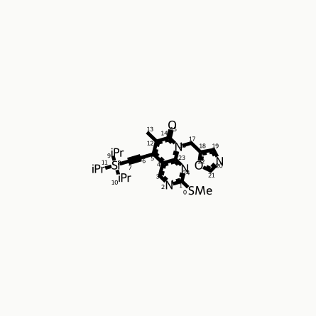 CSc1ncc2c(C#C[Si](C(C)C)(C(C)C)C(C)C)c(C)c(=O)n(Cc3cnco3)c2n1